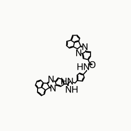 N=C(NCc1ccc(CNC(=O)c2ccc3nc4c(nc3c2)-c2cccc3cccc-4c23)cc1)c1ccc2nc3c(nc2c1)-c1cccc2cccc-3c12